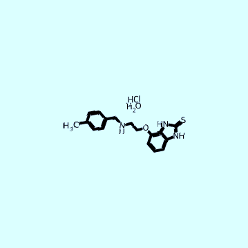 Cc1ccc(CNCCOc2cccc3[nH]c(=S)[nH]c23)cc1.Cl.O